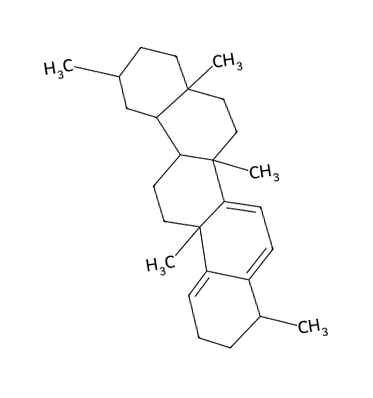 CC1CCC2(C)CCC3(C)C4=CC=C5C(=CCCC5C)C4(C)CCC3C2C1